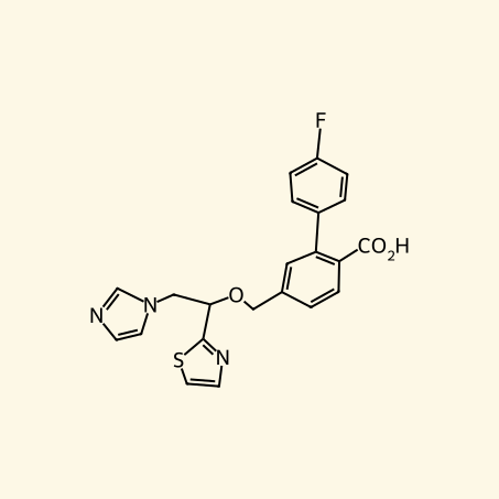 O=C(O)c1ccc(COC(Cn2ccnc2)c2nccs2)cc1-c1ccc(F)cc1